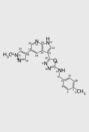 Cc1ccc(CNc2nnc(-c3c[nH]c4ncc(-c5cnn(C)c5)cc34)o2)cc1